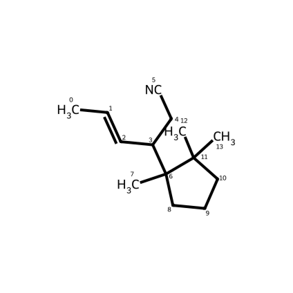 CC=CC(CC#N)C1(C)CCCC1(C)C